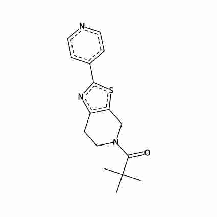 CC(C)(C)C(=O)N1CCc2nc(-c3ccncc3)sc2C1